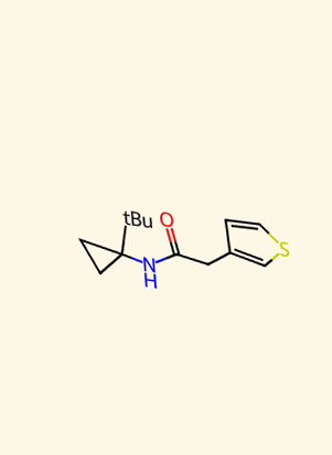 CC(C)(C)C1(NC(=O)Cc2ccsc2)CC1